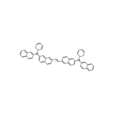 C1=CCC(N(c2ccc3ccccc3c2)c2ccc3cc(/C=C/c4ccc5ccc(N(c6ccc7ccccc7c6)C6C=CC=CC6)cc5c4)ccc3c2)C=C1